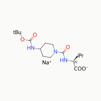 CC(C)[C@H](NC(=O)N1CCC(NC(=O)OC(C)(C)C)CC1)C(=O)[O-].[Na+]